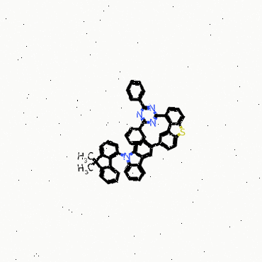 CC1(C)c2ccccc2-c2c(-n3c4ccccc4c4cc(-c5ccc6sc7cccc(-c8nc(-c9ccccc9)nc(C9C=CC=CC9)n8)c7c6c5)ccc43)cccc21